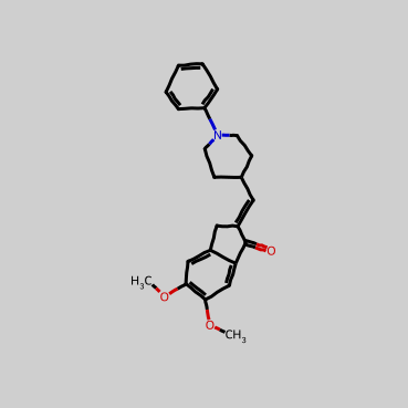 COc1cc2c(cc1OC)C(=O)/C(=C/C1CCN(c3ccccc3)CC1)C2